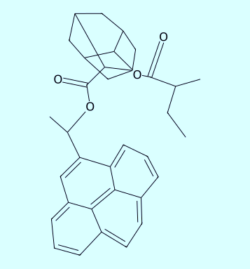 CCC(C)C(=O)OC1C2CC3CC1CC(C2)C3C(=O)OC(C)c1cc2cccc3ccc4cccc1c4c32